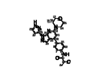 CC(=O)C(=O)Nc1ccc(-c2cc(N3CCOC[C@H]3C)nc3c2cnn3-c2cc[nH]n2)cc1